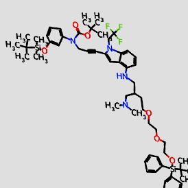 CN(C)CC(CCOCCOCCO[Si](c1ccccc1)(c1ccccc1)C(C)(C)C)CNc1cccc2c1cc(C#CCN(C(=O)OC(C)(C)C)c1cccc(O[Si](C)(C)C(C)(C)C)c1)n2CC(F)(F)F